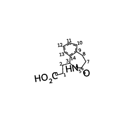 O=C(O)CCC1NC(=O)CCc2ccccc21